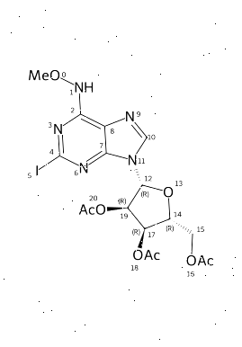 CONc1nc(I)nc2c1ncn2[C@@H]1O[C@H](COC(C)=O)[C@@H](OC(C)=O)[C@H]1OC(C)=O